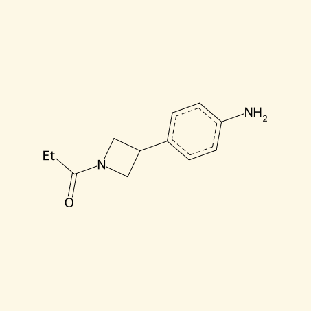 CCC(=O)N1CC(c2ccc(N)cc2)C1